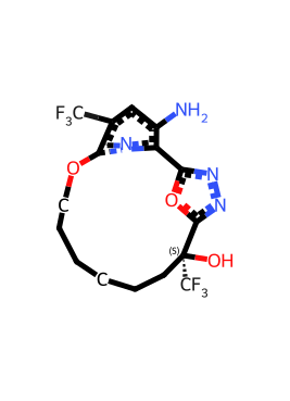 Nc1cc(C(F)(F)F)c2nc1-c1nnc(o1)[C@](O)(C(F)(F)F)CCCCCCO2